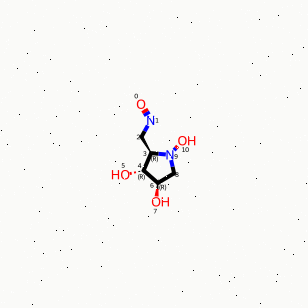 O=NC[C@@H]1[C@@H](O)[C@H](O)CN1O